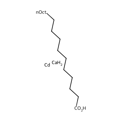 CCCCCCCCCCCCCCCCCC(=O)O.[CaH2].[Cd]